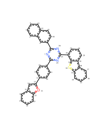 c1ccc2cc(-c3nc(-c4ccc(-c5cc6ccccc6o5)cc4)nc(-c4cccc5c4sc4ccccc45)n3)ccc2c1